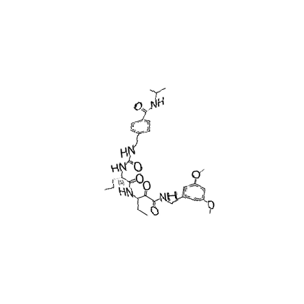 CCC[C@H](NC(=O)NCc1ccc(C(=O)NC(C)C)cc1)C(=O)NC(CC)C(=O)C(=O)NCc1cc(OC)cc(OC)c1